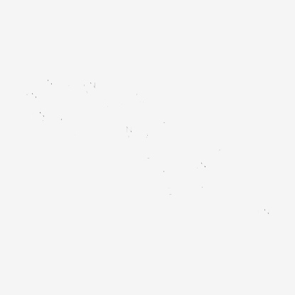 N#CC=C1CCN(c2ccc(N3C[C@H](Cc4[nH]nnc4C#N)OC3=O)cc2F)CC1